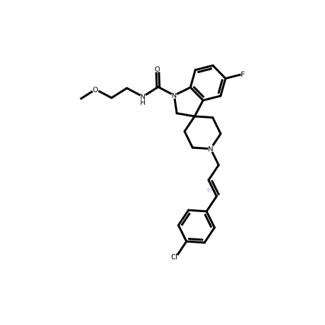 COCCNC(=O)N1CC2(CCN(C/C=C/c3ccc(Cl)cc3)CC2)c2cc(F)ccc21